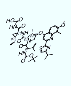 C=C[C@@H]1C[C@]1(NC(=O)[C@@H]1[C@H](C)[C@@H](Oc2cc(-c3nc(C(C)C)cs3)nc3c(C)c(OC)ccc23)CN1C(=O)[C@@H](NC(=O)OC(C)(C)C)C(=C)C)C(=O)NC(=O)O